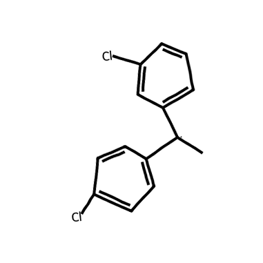 C[C](c1ccc(Cl)cc1)c1cccc(Cl)c1